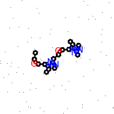 c1ccc(-c2ccc3oc4ccc(-c5ccc6c(c5)c5c7ccccc7ccc5n6-c5nc6ccc(-c7ccc8c(c7)oc7ccc(-c9ccc%10c(c9)c9c%11ccccc%11ccc9n%10-c9nc%10ccccc%10c%10nc%11ccccc%11n9%10)cc78)cc6c6nc7ccccc7n56)cc4c3c2)cc1